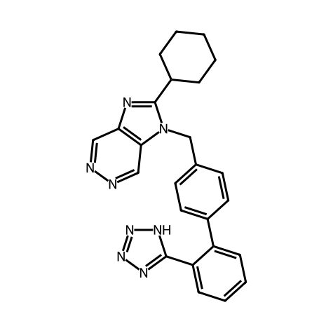 c1ccc(-c2nnn[nH]2)c(-c2ccc(Cn3c(C4CCCCC4)nc4cnncc43)cc2)c1